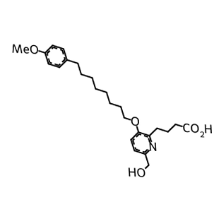 COc1ccc(CCCCCCCCOc2ccc(CO)nc2CCCC(=O)O)cc1